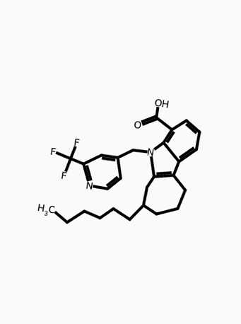 CCCCCCC1CCCc2c(n(Cc3ccnc(C(F)(F)F)c3)c3c(C(=O)O)cccc23)C1